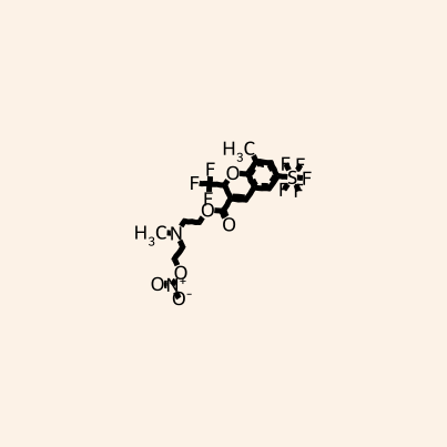 Cc1cc(S(F)(F)(F)(F)F)cc2c1OC(C(F)(F)F)C(C(=O)OCCN(C)CCO[N+](=O)[O-])=C2